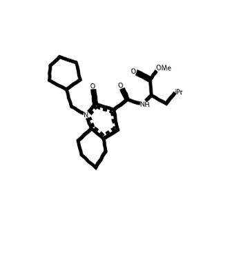 COC(=O)C(CC(C)C)NC(=O)c1cc2c(n(CC3CCCCC3)c1=O)CCCC2